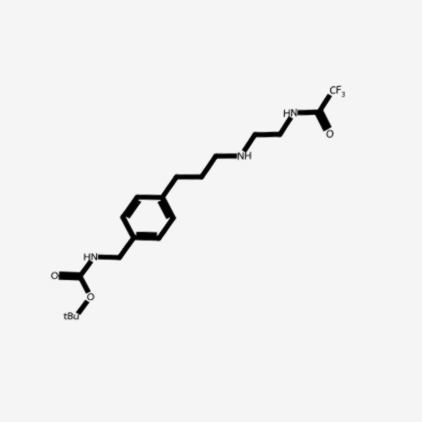 CC(C)(C)OC(=O)NCc1ccc(CCCNCCNC(=O)C(F)(F)F)cc1